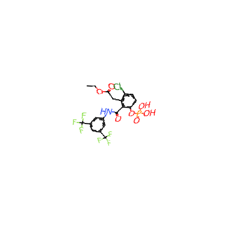 CCOC(=O)Cc1c(Cl)ccc(OP(=O)(O)O)c1C(=O)Nc1cc(C(F)(F)F)cc(C(F)(F)F)c1